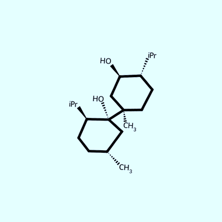 CC(C)[C@@H]1CC[C@@](C)([C@@]2(O)C[C@H](C)CC[C@H]2C(C)C)C[C@H]1O